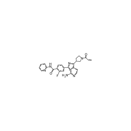 C=CC(=O)N1CCC(c2nc(-c3ccc(C(=O)Nc4ccccn4)c(F)c3)n3c(N)nccc23)C1